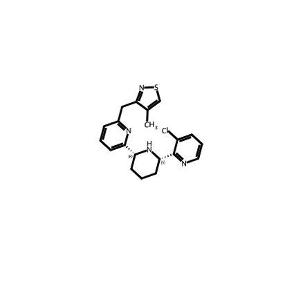 Cc1csnc1Cc1cccc([C@H]2CCC[C@@H](c3ncccc3Cl)N2)n1